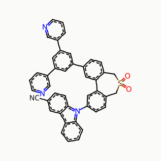 N#Cc1ccc2c(c1)c1ccccc1n2-c1ccc2c(c1)-c1cc(-c3cc(-c4cccnc4)cc(-c4cccnc4)c3)ccc1CS(=O)(=O)C2